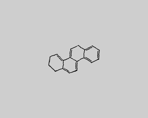 C1=c2c(ccc3c2=CCc2ccccc2-3)CCC1